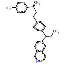 C=C(CCc1ccc(C(CC)c2ccc3cnccc3c2)cc1)c1ccc(C)cc1